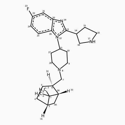 CC1(C)[C@H]2CC[C@@H](CN3CCC(n4c(C5CCNC5)nc5cc(F)ccc54)CC3)[C@@H]1C2